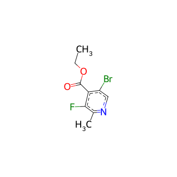 CCOC(=O)c1c(Br)cnc(C)c1F